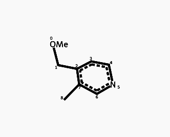 COCc1ccncc1C